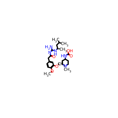 CN1CCC(NC(=O)O)CC1.COc1ccc(CC(=O)N=C(N)N[C@H](C)CC(C)C)cc1OC